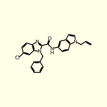 C=CCn1ccc2cc(NC(=O)c3nc4ccc(Cl)cc4n3Cc3ccccc3)ccc21